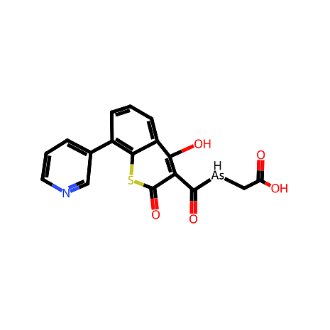 O=C(O)C[AsH]C(=O)c1c(O)c2cccc(-c3cccnc3)c2sc1=O